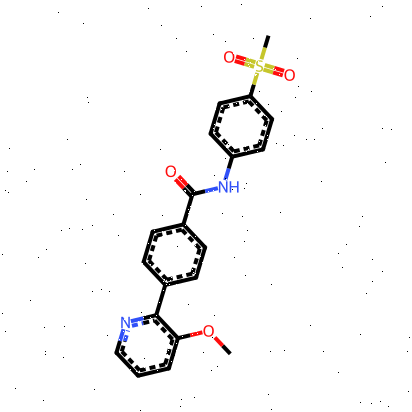 COc1cccnc1-c1ccc(C(=O)Nc2ccc(S(C)(=O)=O)cc2)cc1